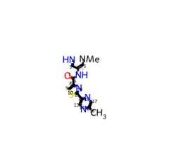 CN/C=C(\C=N)NC(=O)c1csc(-c2cnc(C)cn2)n1